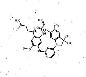 C=CC(=O)Nc1cc(Nc2nccc(N3CC(C)(C)c4nc(C)c(C)cc43)n2)c(OCC)cc1N(C)CCN(C)C